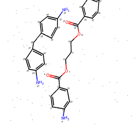 Nc1ccc(C(=O)OCCCOC(=O)c2ccc(N)cc2)cc1.Nc1ccc(Cc2ccc(N)cc2)cc1